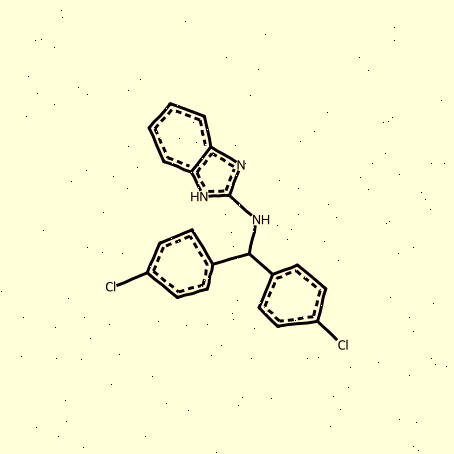 Clc1ccc(C(Nc2nc3ccccc3[nH]2)c2ccc(Cl)cc2)cc1